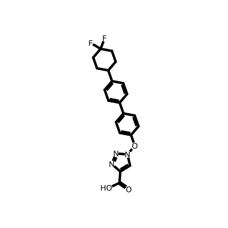 O=C(O)c1cn(Oc2ccc(-c3ccc(C4CCC(F)(F)CC4)cc3)cc2)nn1